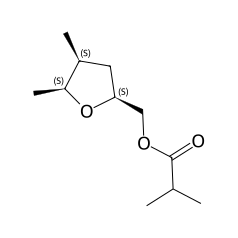 CC(C)C(=O)OC[C@@H]1C[C@H](C)[C@H](C)O1